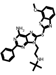 COc1cccc2nc(Sc3nc4c(N)nc(-c5ccccc5)nc4n3CCNC(C)(C)C)sc12